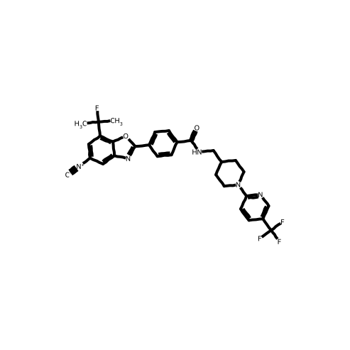 [C-]#[N+]c1cc(C(C)(C)F)c2oc(-c3ccc(C(=O)NCC4CCN(c5ccc(C(F)(F)F)cn5)CC4)cc3)nc2c1